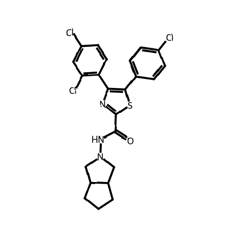 O=C(NN1CC2CCCC2C1)c1nc(-c2ccc(Cl)cc2Cl)c(-c2ccc(Cl)cc2)s1